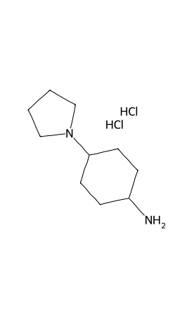 Cl.Cl.NC1CCC(N2CCCC2)CC1